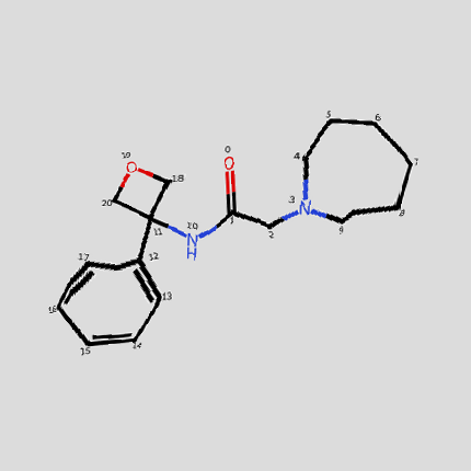 O=C(CN1CCCCCC1)NC1(c2ccccc2)COC1